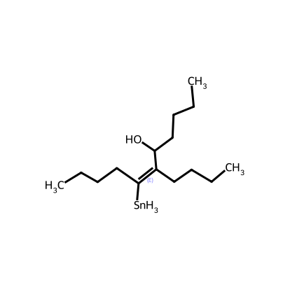 CCCC/[C]([SnH3])=C(/CCCC)C(O)CCCC